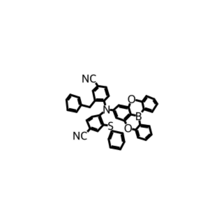 N#Cc1ccc(N(c2cc3c4c(c2)Oc2ccccc2B4c2ccccc2O3)c2ccc(C#N)cc2Sc2ccccc2)c(Cc2ccccc2)c1